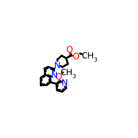 CCOC(=O)C1CCN(c2ccc3cccc(-c4cccnc4OC)c3n2)CC1